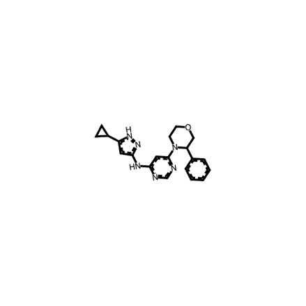 c1ccc(C2COCCN2c2cc(Nc3cc(C4CC4)[nH]n3)ncn2)cc1